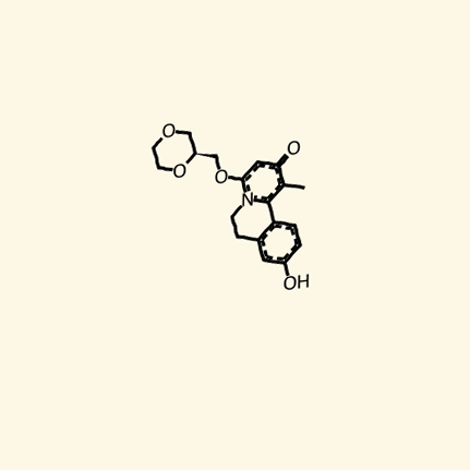 Cc1c2n(c(OC[C@@H]3COCCO3)cc1=O)CCc1cc(O)ccc1-2